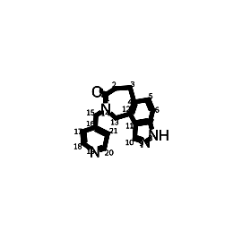 O=C1CCc2ccc3[nH]ncc3c2CN1Cc1ccncc1